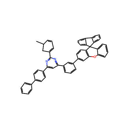 CC1C=CC=C(c2nc(-c3ccc(-c4ccccc4)cc3)cc(-c3cccc(-c4ccc5c(c4)Oc4ccccc4C54c5ccccc5-c5ccccc54)c3)n2)C1